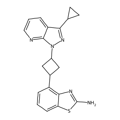 Nc1nc2c(C3CC(n4nc(C5CC5)c5cccnc54)C3)cccc2s1